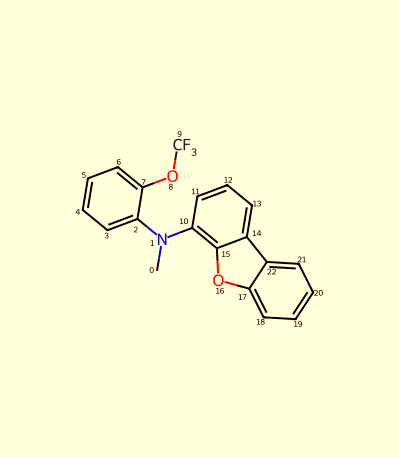 CN(c1ccccc1OC(F)(F)F)c1cccc2c1oc1ccccc12